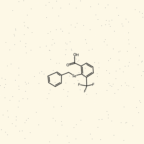 O=C(O)c1cccc(C(F)(F)F)c1[Se]Cc1ccccc1